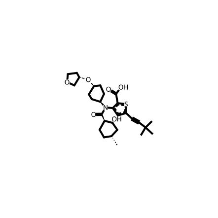 C[C@@H]1CC[C@@H](C(=O)N(c2cc(C#CC(C)(C)C)sc2C(=O)O)[C@H]2CC[C@H](O[C@H]3CCOC3)CC2)[C@@H](O)C1